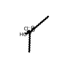 CCCCCCCCC=CCCCCCCCC(=O)OCC[n+]1ccn(CCO)c1CCCCCCCC=CCCCCCCCC.[Cl-]